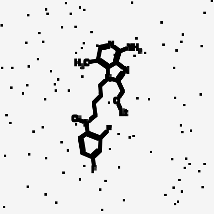 CCOCc1nc2c(N)ncc(C)c2n1CCCC[S+]([O-])c1ccc(F)cc1F